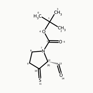 CC(C)(C)OC(=O)N1CCC(=S)[C@H]1C=O